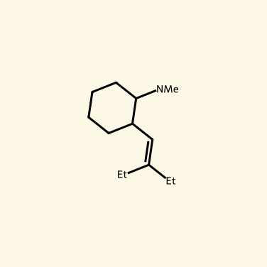 CCC(=CC1CCCCC1NC)CC